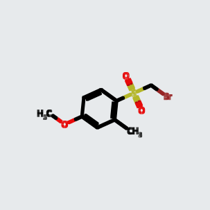 COc1ccc(S(=O)(=O)CBr)c(C)c1